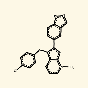 Cn1cccc2c(Sc3ccc(Cl)cc3)c(-c3ccc4[nH]ncc4c3)nc1-2